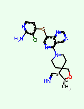 C[C@@H]1OCC2(CCN(c3ncc(Sc4ccnc(N)c4Cl)c4ncncc34)CC2)[C@@H]1C=N